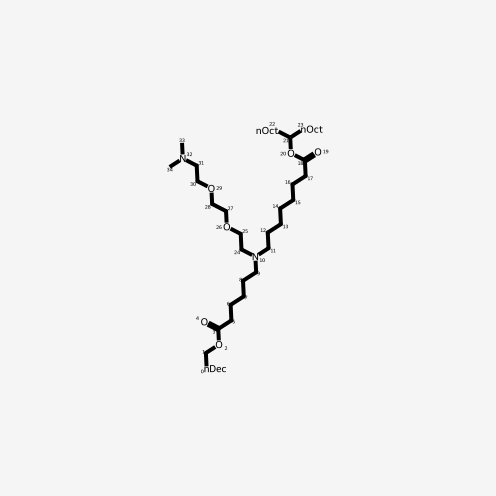 CCCCCCCCCCCOC(=O)CCCCCN(CCCCCCCC(=O)OC(CCCCCCCC)CCCCCCCC)CCOCCOCCN(C)C